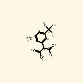 O=C([O-])C(C(=O)[O-])c1cccc(C(F)(F)F)c1.[K+].[K+]